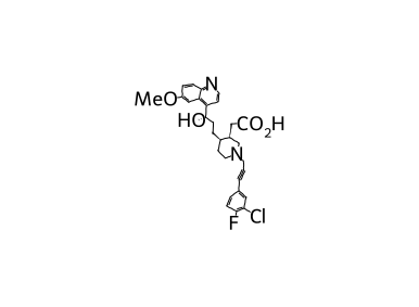 COc1ccc2nccc([C@@H](O)CC[C@@H]3CCN(CC#Cc4ccc(F)c(Cl)c4)C[C@@H]3CC(=O)O)c2c1